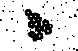 c1ccc(-c2cccc3ccc4c5ccccc5ccc4c23)c(-c2nc(-c3cccc4oc5ccccc5c34)nc(-c3cccc4oc5ccccc5c34)n2)c1